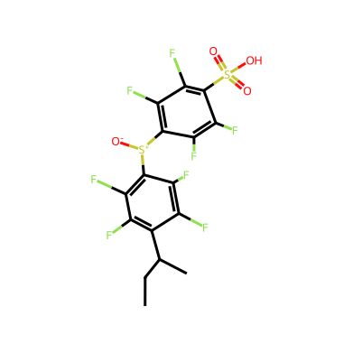 CCC(C)c1c(F)c(F)c([S+]([O-])c2c(F)c(F)c(S(=O)(=O)O)c(F)c2F)c(F)c1F